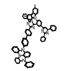 Cc1ccc2c(c1)c1cc(C)ccc1n2-c1ccc(-c2cc(-c3ccccc3)nc(-c3ccccc3)n2)cc1-c1nc(-c2ccccc2)nc(-c2ccc(-c3ccc(N4c5ccccc5B5c6ccccc6N(c6ccccc6)c6cccc4c65)cc3)cc2)n1